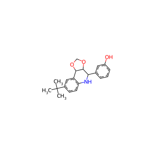 CC(C)(C)c1ccc2c(c1)C1OCOC1C(c1cccc(O)c1)N2